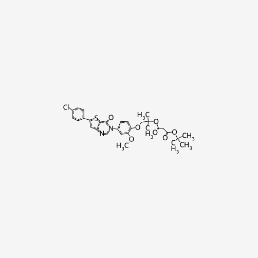 COc1cc(-n2cnc3cc(-c4ccc(Cl)cc4)sc3c2=O)ccc1OCC(C)(C)OC(=O)CC(=O)OC(C)(C)C